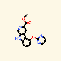 CC(C)OC(=O)c1cc2c(cn1)[nH]c1cccc(Oc3ncccn3)c12